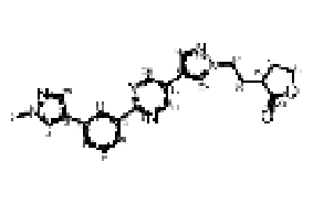 Cn1cc(-c2cccc(-c3ncc(-c4cnn(CCC5CCOC5=O)c4)cn3)c2)cn1